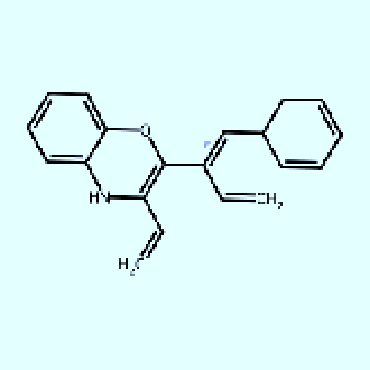 C=CC1=C(/C(C=C)=C/C2C=CC=CC2)Oc2ccccc2N1